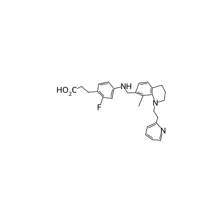 Cc1c(CNc2ccc(CCC(=O)O)c(F)c2)ccc2c1N(CCc1ccccn1)CCC2